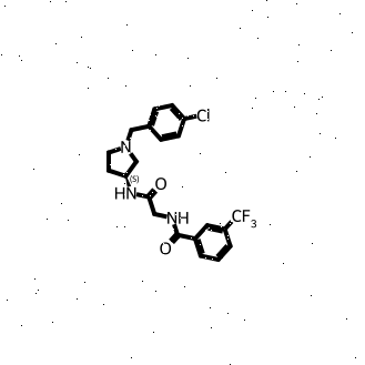 O=C(CNC(=O)c1cccc(C(F)(F)F)c1)N[C@H]1CCN(Cc2ccc(Cl)cc2)C1